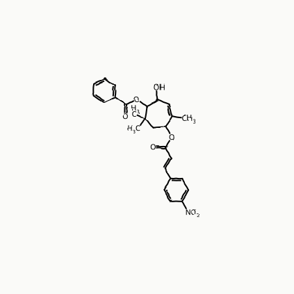 CC1=CC(O)C(OC(=O)c2ccccc2)C(C)(C)CC1OC(=O)C=Cc1ccc([N+](=O)[O-])cc1